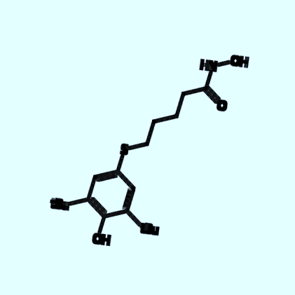 CC(C)(C)c1cc(SCCCCC(=O)NO)cc(C(C)(C)C)c1O